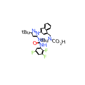 CC(C)(C)c1cc(NC(=O)Nc2cc(F)cc(F)c2F)n(-c2cc(CN(C(=O)O)C(C)(C)C)c3ccccc3c2)n1